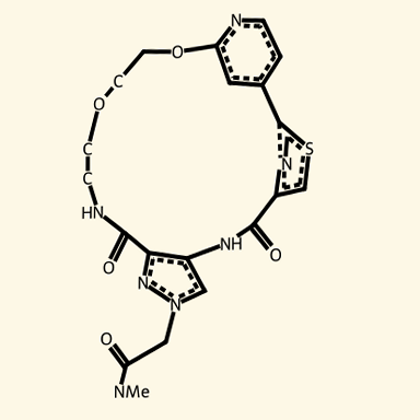 CNC(=O)Cn1cc2c(n1)C(=O)NCCOCCOc1cc(ccn1)-c1nc(cs1)C(=O)N2